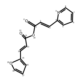 O=C(C=Cc1ccccn1)OC(=O)C=Cc1ccco1